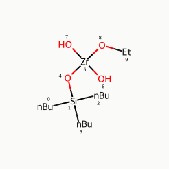 CCCC[Si](CCCC)(CCCC)[O][Zr]([OH])([OH])[O]CC